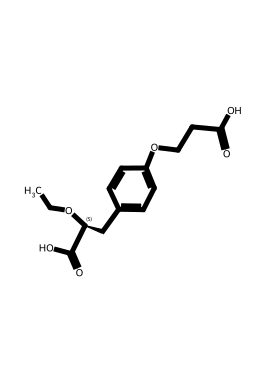 CCO[C@@H](Cc1ccc(OCCC(=O)O)cc1)C(=O)O